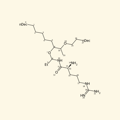 CCCCCCCCCCCCCCCC(OC(CC)NC(=O)[C@@H](N)CCCNC(=N)N)C(C)OCCCCCCCCCCCC